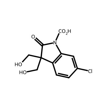 O=C(O)N1C(=O)C(CO)(CO)c2ccc(Cl)cc21